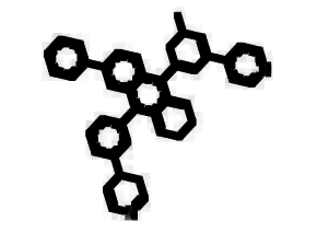 CC1C=C(c2ccncc2)C=C(c2c3c(c(-c4cccc(C5C=CN=CC5)c4)c4cc(-c5ccccc5)ccc24)=CCCC=3)C1